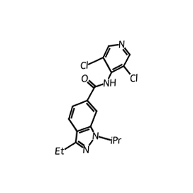 CCc1nn(C(C)C)c2cc(C(=O)Nc3c(Cl)cncc3Cl)ccc12